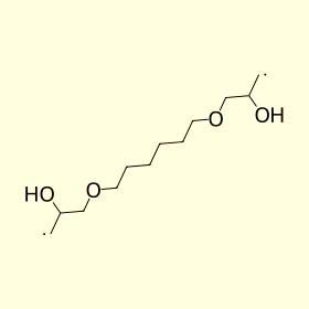 [CH2]C(O)COCCCCCCOCC([CH2])O